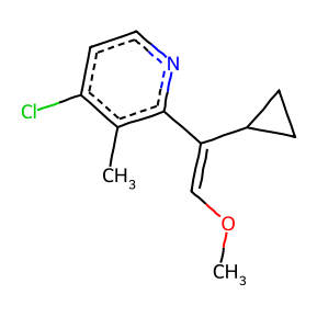 COC=C(c1nccc(Cl)c1C)C1CC1